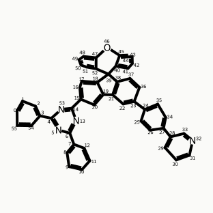 c1ccc(-c2nc(-c3ccccc3)nc(-c3ccc4c(c3)-c3cc(-c5ccc(-c6cccnc6)cc5)ccc3C43c4ccccc4Oc4ccccc43)n2)cc1